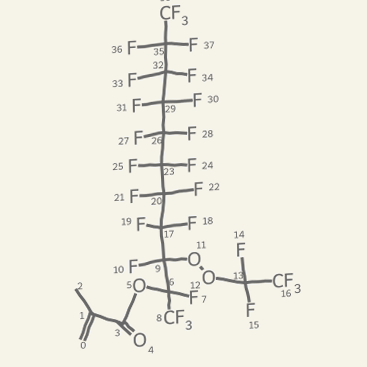 C=C(C)C(=O)OC(F)(C(F)(F)F)C(F)(OOC(F)(F)C(F)(F)F)C(F)(F)C(F)(F)C(F)(F)C(F)(F)C(F)(F)C(F)(F)C(F)(F)C(F)(F)F